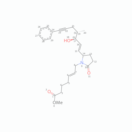 COC(=O)CCCC=CCN1C(=O)CCC1C=C[C@@H](O)[C@@H](C)CC#Cc1ccccc1